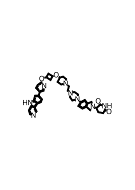 O=C1CCC(N2Cc3ccc(N4CCN(CCN5CCC(OC6CC(Oc7ccc(-c8ccc9c(c8)[nH]c8ccncc89)cn7)C6)CC5)CC4)cc3C2)C(=O)N1